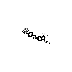 CC1CC(C)c2cc(NCc3ccc(NS(=O)(=O)C(C)C)cc3)ccc21